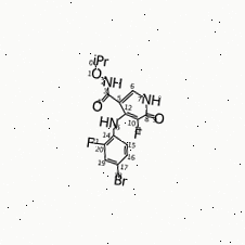 CC(C)ONC(=O)c1c[nH]c(=O)c(F)c1Nc1ccc(Br)cc1F